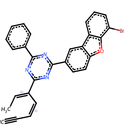 C#C/C=C\C(=C/C)c1nc(-c2ccccc2)nc(-c2ccc3oc4c(Br)cccc4c3c2)n1